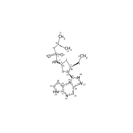 CC[C@@H]1C[C@H](NS(=O)(=O)CC(C)C)C[C@@H]1c1nnc2cnc3[nH]ccc3n12